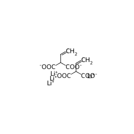 C=CC(C(=O)[O-])C(=O)[O-].C=CC(C(=O)[O-])C(=O)[O-].[Li+].[Li+].[Li+].[Li+]